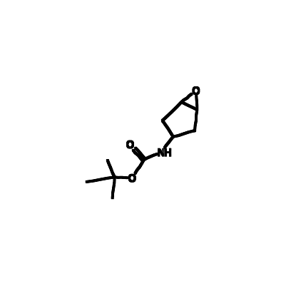 CC(C)(C)OC(=O)NC1CC2OC2C1